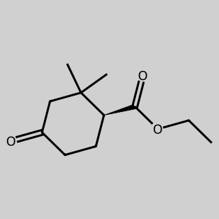 CCOC(=O)[C@H]1CCC(=O)CC1(C)C